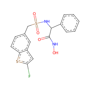 O=C(NO)C(NS(=O)(=O)Cc1ccc2sc(F)cc2c1)c1ccccc1